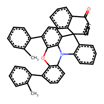 Cc1ccccc1-c1cccc2c1Oc1c(-c3ccccc3C)ccc3c1N2c1ccccc1C31c2ccccc2C(=O)c2ccccc21